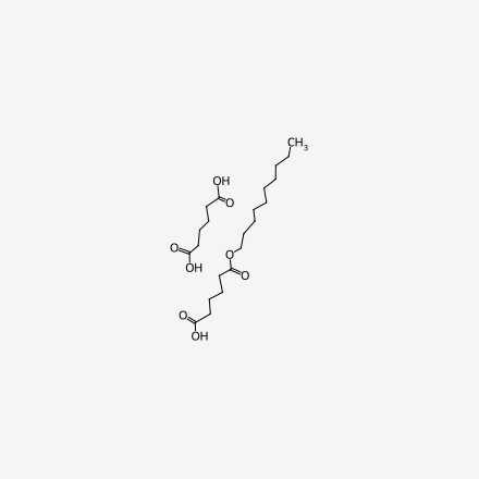 CCCCCCCCCCOC(=O)CCCCC(=O)O.O=C(O)CCCCC(=O)O